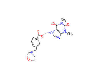 Cn1c(=O)c2c(ncn2COC(=O)c2cccc(CN3CCOCC3)c2)n(C)c1=O